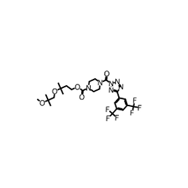 COC(C)(C)COC(C)(C)CCOC(=O)N1CCN(C(=O)n2nnc(-c3cc(C(F)(F)F)cc(C(F)(F)F)c3)n2)CC1